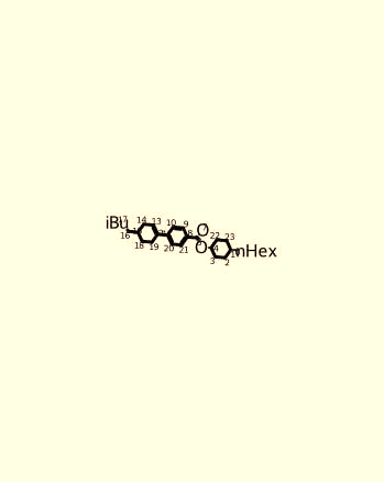 CCCCCC[C@H]1CC[C@H](OC(=O)c2ccc(C3=CCC(CC(C)CC)CC3)cc2)CC1